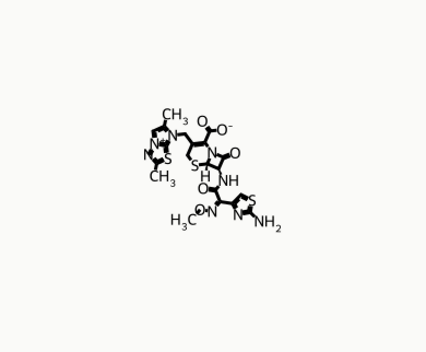 CO/N=C(\C(=O)N[C@@H]1C(=O)N2C(C(=O)[O-])=C(Cn3c(C)c[n+]4nc(C)sc34)CS[C@@H]12)c1csc(N)n1